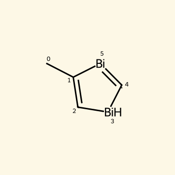 C[C]1=[CH][BiH][C]=[Bi]1